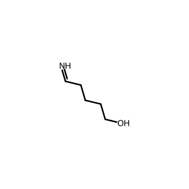 N=CCCCCO